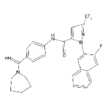 N=C(c1ccc(NC(=O)c2cc(C(F)(F)F)nn2-c2cc3ccccc3cc2F)cc1)N1CCCCC1